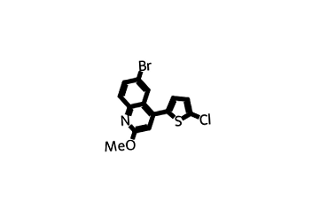 COc1cc(-c2ccc(Cl)s2)c2cc(Br)ccc2n1